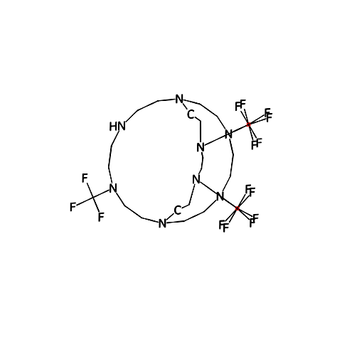 FC(F)(F)N1CCNCCN2CCN(C(F)(F)F)CCN(C(F)(F)F)CCN(CC1)CCN(C(F)(F)F)CCN(C(F)(F)F)CC2